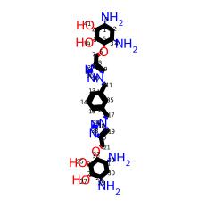 N[C@@H]1C[C@H](N)[C@@H](OCc2cn(Cc3cccc(Cn4cc(CO[C@H]5[C@H](O)[C@@H](O)[C@H](N)C[C@@H]5N)nn4)c3)nn2)[C@H](O)[C@H]1O